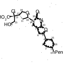 CCCCCc1ccc(-c2cc3cn([C@H]4C[C@H]([C@@](Cl)(CO)C(=O)O)CO4)c(=O)nc3o2)cc1